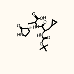 CC(C)(C)OC(=O)NC(CC1CC1)C(=O)NC(C[C@@H]1CCNC1=O)C(=O)O